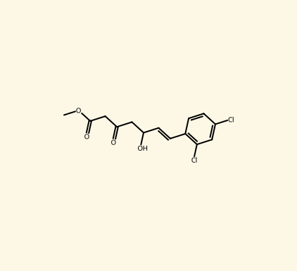 COC(=O)CC(=O)CC(O)C=Cc1ccc(Cl)cc1Cl